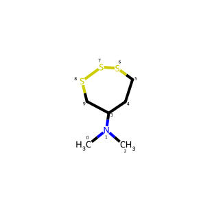 CN(C)C1CCSSSC1